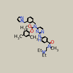 CCN(CC)CCN(C)C(=O)c1ccc(Nc2nccc(N(Cc3cccc(Cn4cccn4)c3)C(=O)Oc3c(C)cc(C)cc3C)n2)cc1